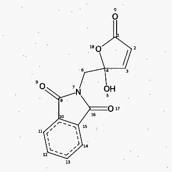 O=C1C=CC(O)(CN2C(=O)c3ccccc3C2=O)O1